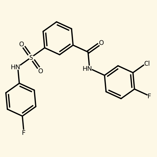 O=C(Nc1ccc(F)c(Cl)c1)c1cccc(S(=O)(=O)Nc2ccc(F)cc2)c1